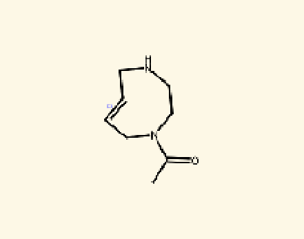 CC(=O)N1C/C=C/CNCC1